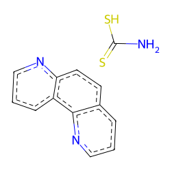 NC(=S)S.c1cnc2c(c1)ccc1ncccc12